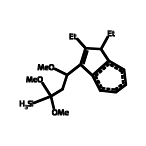 CCC1=C(C(CC([SiH3])(OC)OC)OC)c2ccccc2C1CC